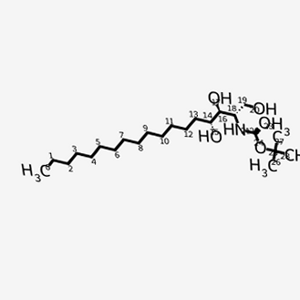 CCCCCCCCCCCCCC[C@@H](O)[C@@H](O)[C@H](CO)NC(=O)OC(C)(C)C